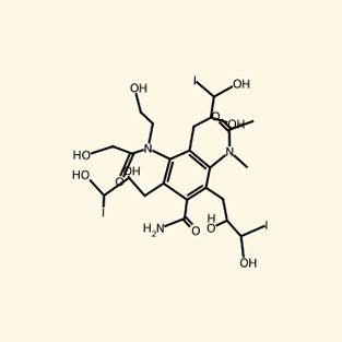 CC(=O)N(C)c1c(CC(O)C(O)I)c(C(N)=O)c(CC(O)C(O)I)c(N(CCO)C(=O)CO)c1CC(O)C(O)I